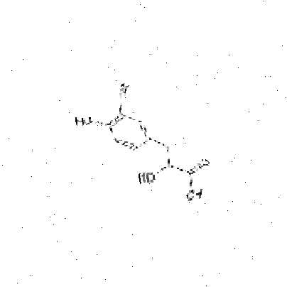 O=C(O)C(O)Cc1ccc(O)c(Br)c1